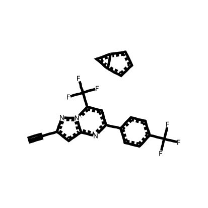 C#Cc1cc2nc(-c3ccc(C(F)(F)F)cc3)cc(C(F)(F)F)n2n1.c1cc2cc-2c1